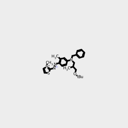 Cc1cc(N(Cc2ccccc2)CC(C)COC(C)(C)C)ccc1/N=N/c1scc[n+]1C